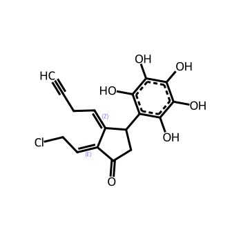 C#CC/C=C1\C(=C/CCl)C(=O)CC1c1c(O)c(O)c(O)c(O)c1O